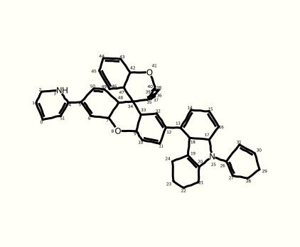 C1=CCNC(C2=CC3OC4C=CC(C5=CC=CC6C5C5=C(CCCC5)N6C5=CCCC=C5)=CC4C4(C5=CCCCC5OC5C=CC=CC54)C3C=C2)=C1